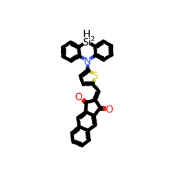 O=C1C(=Cc2ccc(N3c4ccccc4[SiH2]c4ccccc43)s2)C(=O)c2cc3ccccc3cc21